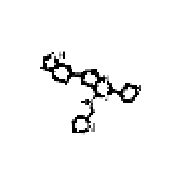 c1ccc(CNc2nc(-c3cccnc3)nc3ccc(-c4ccc5cc[nH]c5c4)cc23)nc1